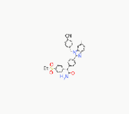 CCS(=O)(=O)c1ccc(C(C(N)=O)c2ccc(-c3nc4ccc(C)cc4n3Cc3ccc(C#N)cc3)cc2)cc1